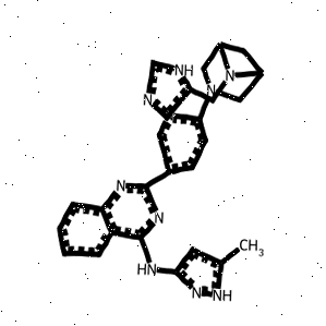 Cc1cc(Nc2nc(-c3ccc(N4CC5CC(C4)N5Cc4cnc[nH]4)nc3)nc3ccccc23)n[nH]1